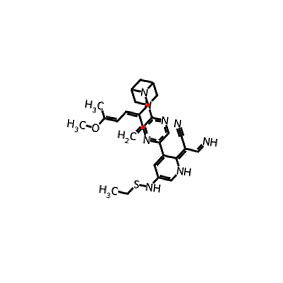 C=C/C(=C\C=C(/C)OC)CN1C2CC1CN(c1cnc(C3=CC(NSCC)=CN/C3=C(/C#N)C=N)cn1)C2